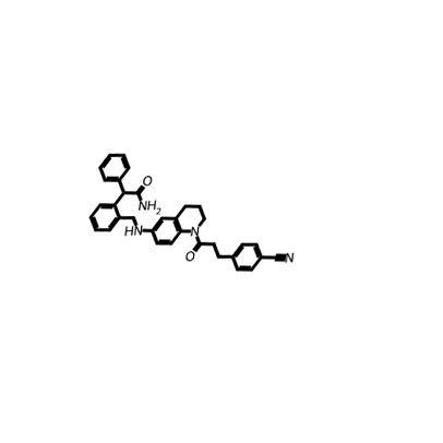 N#Cc1ccc(CCC(=O)N2CCCc3cc(NCc4ccccc4C(C(N)=O)c4ccccc4)ccc32)cc1